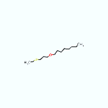 CCCCCCCCOCCCSCC